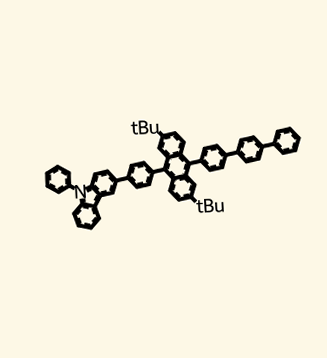 CC(C)(C)c1ccc2c(-c3ccc(-c4ccc5c(c4)c4ccccc4n5-c4ccccc4)cc3)c3cc(C(C)(C)C)ccc3c(-c3ccc(-c4ccc(-c5ccccc5)cc4)cc3)c2c1